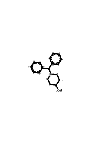 OC1CCN(C(c2ccccc2)c2ccccc2)CC1